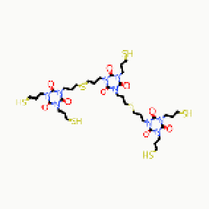 O=c1n(CCCS)c(=O)n(CCCSCCCn2c(=O)n(CCCS)c(=O)n(CCCSCCCn3c(=O)n(CCCS)c(=O)n(CCCS)c3=O)c2=O)c(=O)n1CCCS